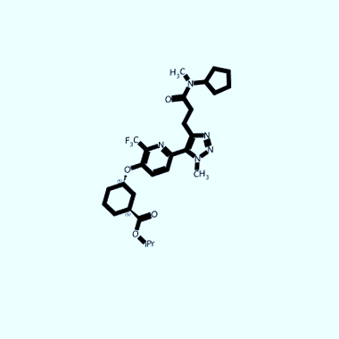 CC(C)OC(=O)[C@H]1CCC[C@H](Oc2ccc(-c3c(CCC(=O)N(C)C4CCCC4)nnn3C)nc2C(F)(F)F)C1